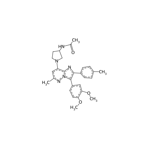 COc1ccc(-c2c(-c3ccc(C)cc3)nc3c(N4CCC(NC(C)=O)C4)cc(C)nn23)cc1OC